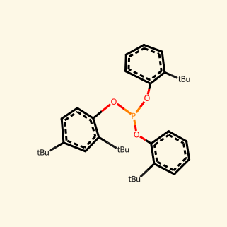 CC(C)(C)c1ccc(OP(Oc2ccccc2C(C)(C)C)Oc2ccccc2C(C)(C)C)c(C(C)(C)C)c1